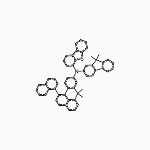 CC1(C)c2ccccc2-c2ccc(N(c3ccc4c(c3)C(C)(C)c3cccc5ccc(-c6cccc7ccccc67)c-4c35)c3cccc4c3sc3ccccc34)cc21